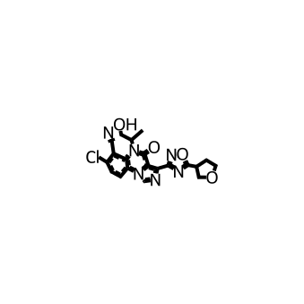 CC(CO)n1c(=O)c2c(-c3noc(C4CCOC4)n3)ncn2c2ccc(Cl)c(C#N)c21